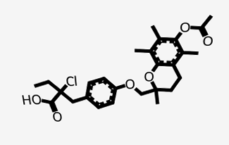 CCC(Cl)(Cc1ccc(OCC2(C)CCc3c(C)c(OC(C)=O)c(C)c(C)c3O2)cc1)C(=O)O